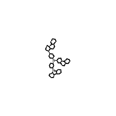 c1cc(N(c2ccc(-c3cccc4c3ccc3ccccc34)cc2)c2ccc3c(ccc4ccccc43)c2)cc(-n2c3ccccc3c3ccccc32)c1